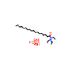 CCCCCCCCCCCCCCCCCC(=O)N(CC)N(CC)CC.O=P(O)(O)O